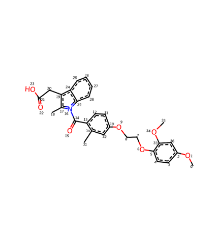 COc1ccc(OCCOc2ccc(C(=O)n3c(C)c(CC(=O)O)c4ccccc43)c(C)c2)c(OC)c1